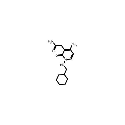 Cc1ccn(NCC2CCCCC2)c(=O)c1CC(N)=O